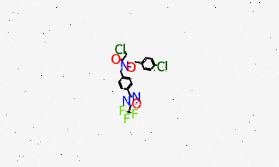 O=C(CCl)N(Cc1ccc(-c2noc(C(F)(F)F)n2)cc1)OCc1ccc(Cl)cc1